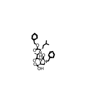 CC(C)CC[C@H](N[C@H](C)C(=O)N1C(=O)N(Cc2ccccc2)C[C@H]1C(=O)O)C(=O)OCc1ccccc1